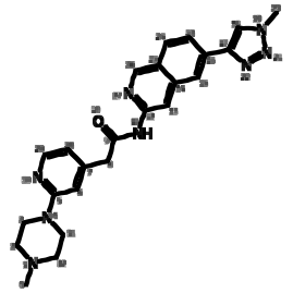 CN1CCN(c2cc(CC(=O)Nc3cc4cc(-c5cn(C)nn5)ccc4cn3)ccn2)CC1